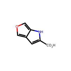 O=C(O)c1cc2cocc2[nH]1